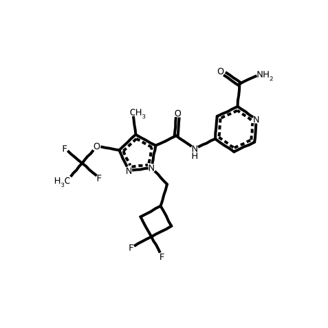 Cc1c(OC(C)(F)F)nn(CC2CC(F)(F)C2)c1C(=O)Nc1ccnc(C(N)=O)c1